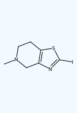 CN1CCc2sc(I)nc2C1